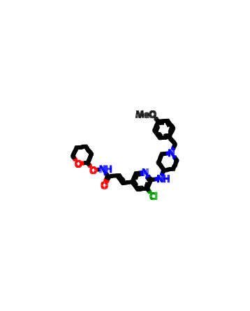 COc1ccc(CN2CCC(Nc3ncc(C=CC(=O)NOC4CCCCO4)cc3Cl)CC2)cc1